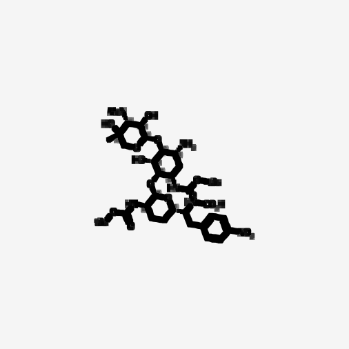 CN[C@@H]1[C@@H](O)[C@@H](O[C@@H]2[C@@H](O)[C@H](O[C@H]3O[C@H](C(Cc4ccc([N+](=O)[O-])cc4)NC(=O)O)CC[C@H]3NC(=O)OC(C)(C)C)[C@@H](NC(=O)OC(C)(C)C)C[C@H]2N)OC[C@]1(C)O